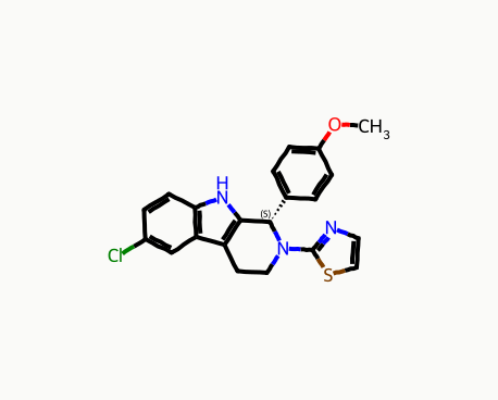 COc1ccc([C@H]2c3[nH]c4ccc(Cl)cc4c3CCN2c2nccs2)cc1